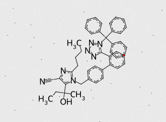 CCCCc1nc(C#N)c(C(C)(O)CC)n1Cc1ccc(-c2ccccc2-c2nnnn2C(c2ccccc2)(c2ccccc2)c2ccccc2)cc1